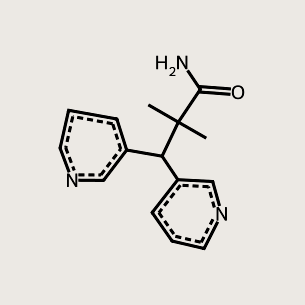 CC(C)(C(N)=O)C(c1cccnc1)c1cccnc1